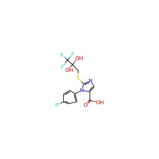 O=C(O)c1cnc(SCC(O)(O)C(F)(F)F)n1-c1ccc(F)cc1